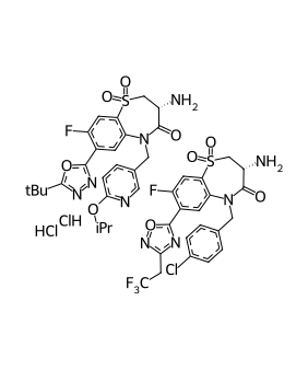 CC(C)Oc1ccc(CN2C(=O)[C@@H](N)CS(=O)(=O)c3cc(F)c(-c4nnc(C(C)(C)C)o4)cc32)cn1.Cl.Cl.N[C@H]1CS(=O)(=O)c2cc(F)c(-c3nc(CC(F)(F)F)no3)cc2N(Cc2ccc(Cl)cc2)C1=O